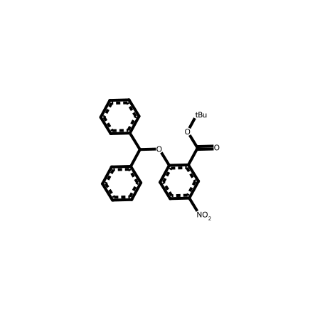 CC(C)(C)OC(=O)c1cc([N+](=O)[O-])ccc1OC(c1ccccc1)c1ccccc1